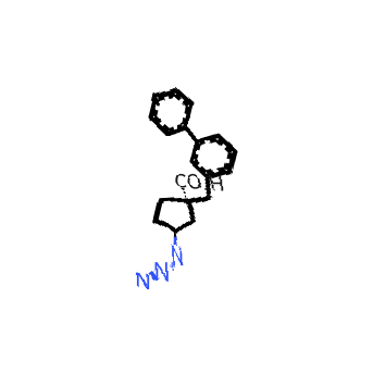 [N-]=[N+]=N[C@H]1CC[C@](Cc2cccc(-c3ccccc3)c2)(C(=O)O)C1